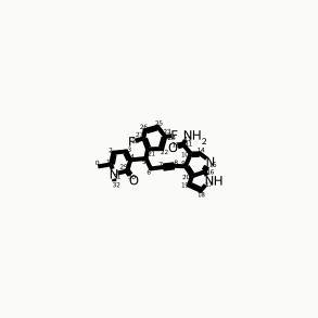 Cc1ccc(C(CC#Cc2c(C(N)=O)cnc3[nH]ccc23)c2cc(F)ccc2F)c(=O)n1C